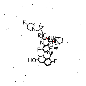 C#Cc1c(F)ccc2cc(O)cc(-c3nc(C#C)c4c(N5CC6CCC(C5)N6C(=O)NCC(F)(F)F)nc(OCC5(CN6CCC(F)CC6)CC5)nc4c3F)c12